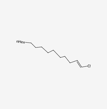 CCCCCCCCCCCCCC/C=C/Cl